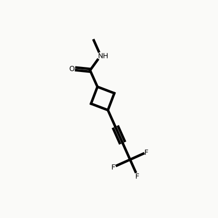 CNC(=O)C1CC(C#CC(F)(F)F)C1